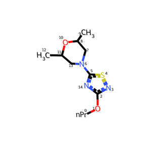 CCCOc1nsc(N2CC(C)OC(C)C2)n1